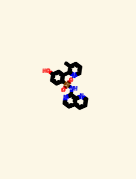 Cc1cccnc1-c1cc(O)ccc1S(=O)(=O)Nc1nccc2cccnc12